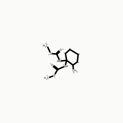 COC(=O)NC1(NC(=O)OC)CCCCC1C